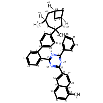 C[C@@H]1CC(C)(c2ccc(-c3ccccc3-c3nc(-c4ccccc4)nc(-c4ccc5c(C#N)cccc5c4)n3)cc2)C[C@H]2C[C@@H](C1)C2